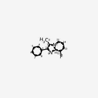 Cc1c(-c2ccccc2)nc2c(F)cccn12